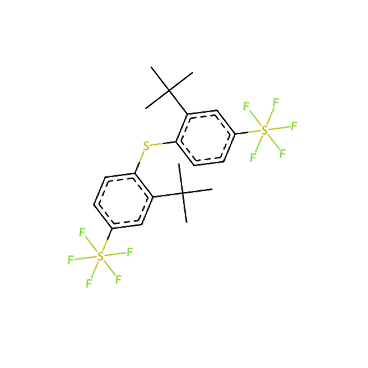 CC(C)(C)c1cc(S(F)(F)(F)(F)F)ccc1Sc1ccc(S(F)(F)(F)(F)F)cc1C(C)(C)C